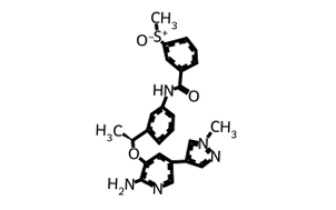 C[C@H](Oc1cc(-c2cnn(C)c2)cnc1N)c1cccc(NC(=O)c2cccc([S+](C)[O-])c2)c1